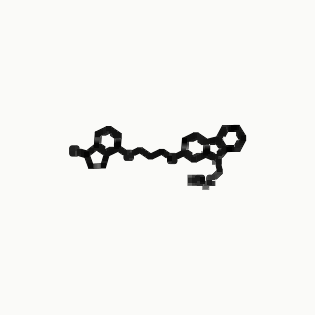 O=C(O)Cn1c2ccccc2c2ccc(OCCCOc3cccc4c3CCC4=O)cc21